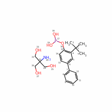 CC(C)(C)c1cc(-c2ccccc2)ccc1OP(O)O.NC(CO)(CO)CO